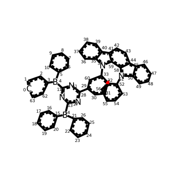 c1ccc(B(c2ccccc2)c2nc(B(c3ccccc3)c3ccccc3)nc(-c3cccc(-n4c5ccccc5c5ccc6c7ccccc7n(-c7ccccc7)c6c54)c3)n2)cc1